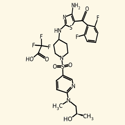 C[C@@H](O)CN(C)c1ccc(S(=O)(=O)N2CCC(Nc3nc(N)c(C(=O)c4c(F)cccc4F)s3)CC2)cn1.O=C(O)C(F)(F)F